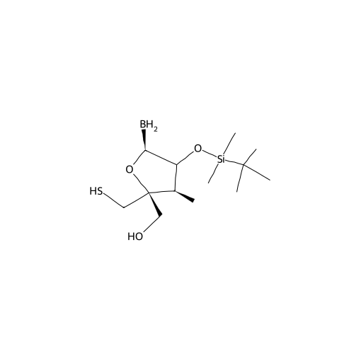 B[C@@H]1O[C@@](CO)(CS)[C@H](C)C1O[Si](C)(C)C(C)(C)C